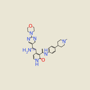 C=C(Nc1ccc(C2CCN(C)CC2)cc1)c1c(/C=C(\N)c2cnc(N3CCOCC3)nc2)cc[nH]c1=O